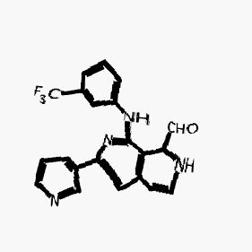 O=CC1NC=Cc2cc(-c3cccnc3)nc(Nc3cccc(C(F)(F)F)c3)c21